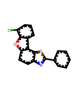 Clc1cccc2c1oc1ccc3nc(-c4ccccc4)sc3c12